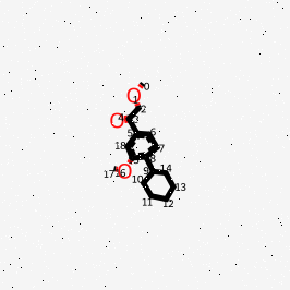 COCC(=O)c1ccc(C2CCCCC2)c(OC)c1